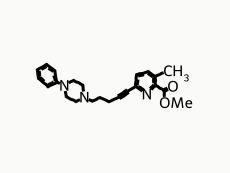 COC(=O)c1nc(C#CCCCN2CCN(c3ccccc3)CC2)ccc1C